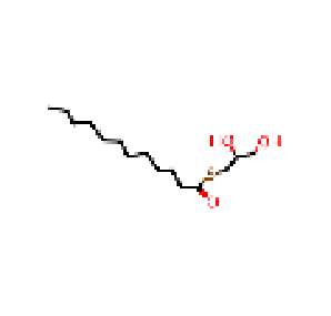 CCCCCCCCCCCC(=O)SCC(O)CO